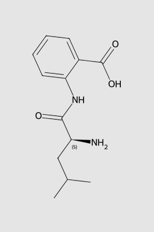 CC(C)C[C@H](N)C(=O)Nc1ccccc1C(=O)O